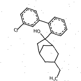 CCC1CC2CC(C1)C(O)(c1ccccc1-c1cccc(Cl)c1)C2